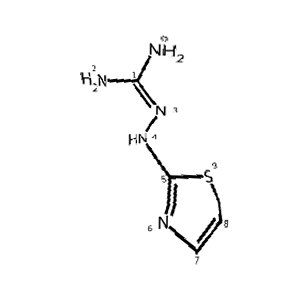 NC(N)=NNc1nccs1